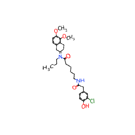 CCCN(C(=O)CCCCCNC(=O)Cc1ccc(O)c(Cl)c1)[C@H]1CCc2c(ccc(OC)c2OC)C1